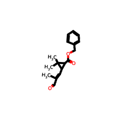 C/C(C=O)=C\C1C(C(=O)OCc2ccccc2)C1(C)C